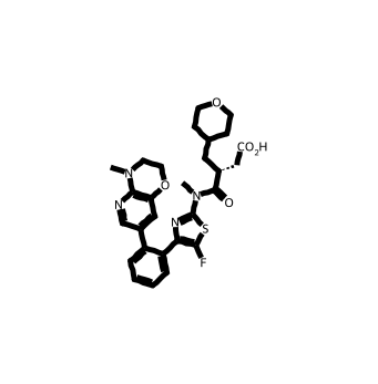 CN1CCOc2cc(-c3ccccc3-c3nc(N(C)C(=O)[C@@H](CC(=O)O)CC4CCOCC4)sc3F)cnc21